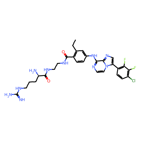 CCc1cc(Nc2nccn3c(-c4ccc(Cl)c(F)c4F)cnc23)ccc1C(=O)NCCNC(=O)[C@H](N)CCCNC(=N)N